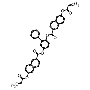 C=CC(=O)Oc1ccc2cc(C(=O)Oc3ccc(OC(=O)c4ccc5cc(OC(=O)C=C)ccc5c4)c(-c4ccccc4)c3)ccc2c1